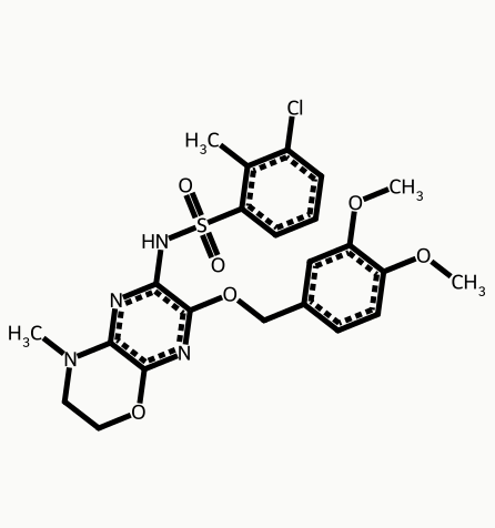 COc1ccc(COc2nc3c(nc2NS(=O)(=O)c2cccc(Cl)c2C)N(C)CCO3)cc1OC